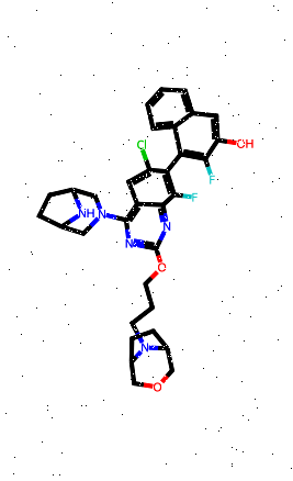 Oc1cc2ccccc2c(-c2c(Cl)cc3c(N4CC5CCC(C4)N5)nc(OCCCN4C5CCC4COC5)nc3c2F)c1F